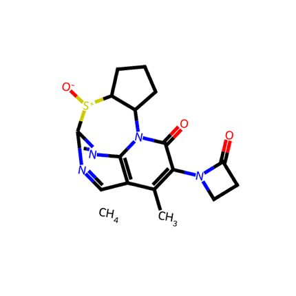 C.Cc1c(N2CCC2=O)c(=O)n2c3nc(ncc13)[S+]([O-])C1CCCC12